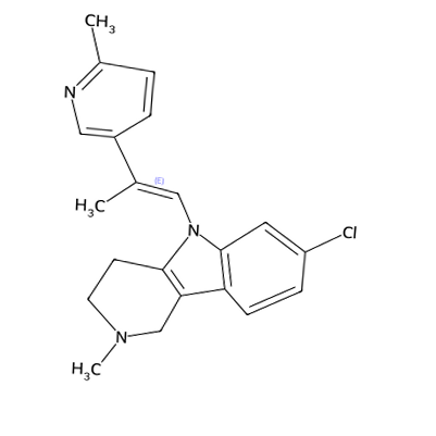 C/C(=C\n1c2c(c3ccc(Cl)cc31)CN(C)CC2)c1ccc(C)nc1